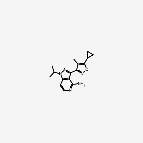 Cc1c(-c2nn(C(C)C)c3ccnc(N)c23)noc1C1CC1